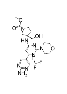 COC(=O)N1CC[C@](CO)(Nc2cc(-c3cnc(N)nc3C(F)(F)F)nc(N3CCOCC3)n2)C1